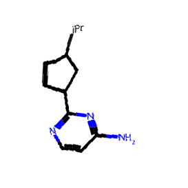 CC(C)C1CCC(c2nccc(N)n2)C1